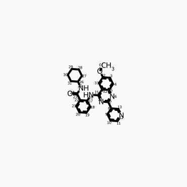 COc1ccc2nc(-c3cccnc3)nc(Nc3ccccc3C(=O)NC3CCCCC3)c2c1